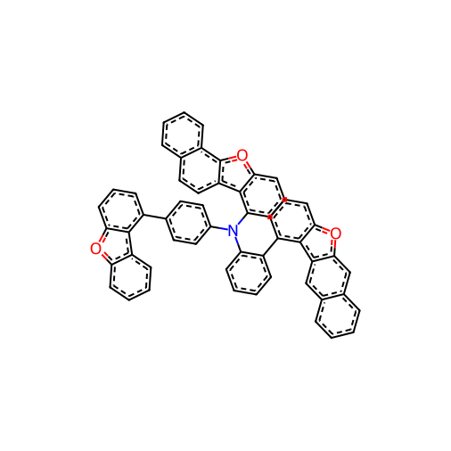 c1ccc(N(c2ccc(-c3cccc4oc5ccccc5c34)cc2)c2cccc3oc4c5ccccc5ccc4c23)c(-c2cccc3oc4cc5ccccc5cc4c23)c1